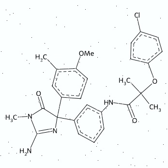 COc1ccc(C2(c3cccc(NC(=O)C(C)(C)Oc4ccc(Cl)cc4)c3)N=C(N)N(C)C2=O)cc1C